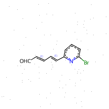 O=C/C=C/C=C/c1cccc(Br)n1